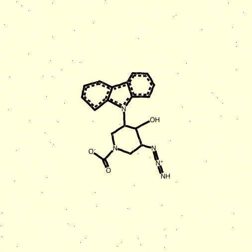 N=[N+]=NC1CN(C(=O)[O-])CC(n2c3ccccc3c3ccccc32)C1O